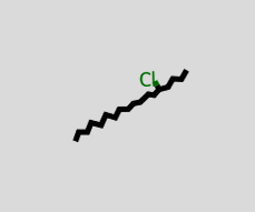 CCCCCCCCCCCCCC(Cl)CCCC